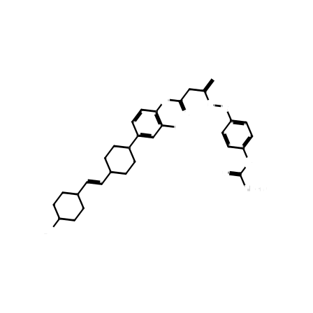 C=C(CC(=O)Oc1ccc(C2CCC(C=CC3CCC(CC)CC3)CC2)cc1F)OOc1ccc(OC(=O)CCC[CH-][CH2+])cc1